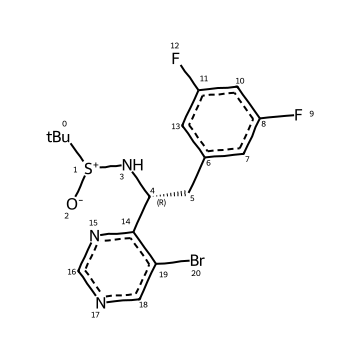 CC(C)(C)[S+]([O-])N[C@H](Cc1cc(F)cc(F)c1)c1ncncc1Br